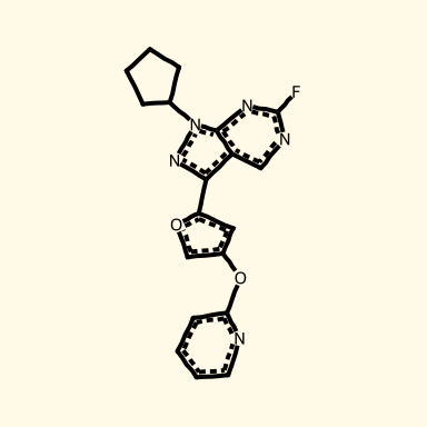 Fc1ncc2c(-c3cc(Oc4ccccn4)co3)nn(C3CCCC3)c2n1